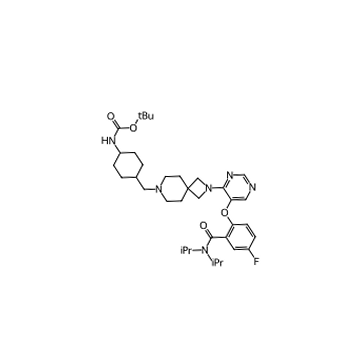 CC(C)N(C(=O)c1cc(F)ccc1Oc1cncnc1N1CC2(CCN(CC3CCC(NC(=O)OC(C)(C)C)CC3)CC2)C1)C(C)C